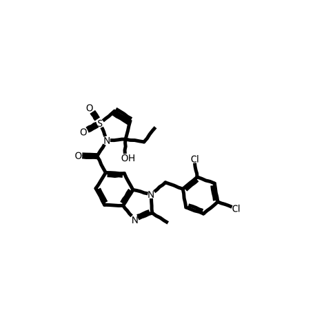 CCC1(O)C#CS(=O)(=O)N1C(=O)c1ccc2nc(C)n(Cc3ccc(Cl)cc3Cl)c2c1